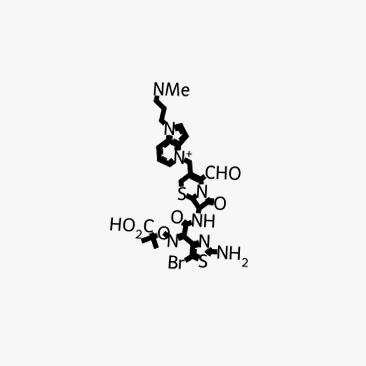 CNCCCn1ccc2c1ccc[n+]2CC1=C(C=O)N2C(=O)C(NC(=O)/C(=N\OC(C)(C)C(=O)O)c3nc(N)sc3Br)C2SC1